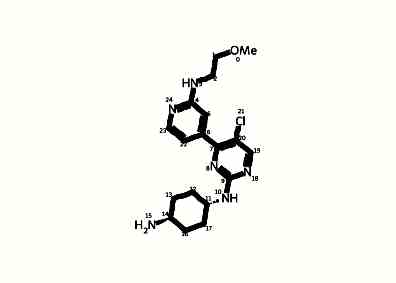 COCCNc1cc(-c2nc(N[C@H]3CC[C@H](N)CC3)ncc2Cl)ccn1